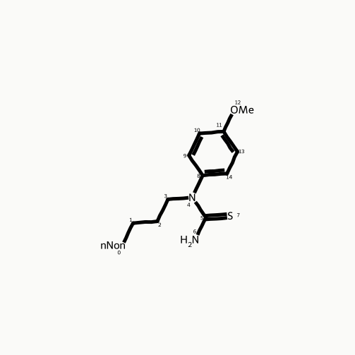 CCCCCCCCCCCCN(C(N)=S)c1ccc(OC)cc1